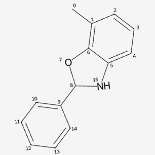 Cc1cccc2c1OC(c1ccccc1)N2